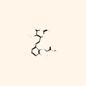 COc1cccc(C=Cc2[nH]c(=S)[nH]c(=O)c2C#N)c1OCC(=O)NO